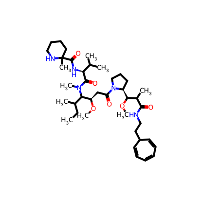 CCC(C)C([C@@H](CC(=O)N1CCC[C@H]1C(OC)C(C)C(=O)NCCC1C=CC=CC=C1)OC)N(C)C(=O)[C@@H](NC(=O)C1(C)CCCCN1)C(C)C